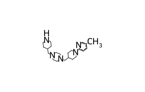 Cc1ccc(N2CCC(CN3CCN(CC4CCNCC4)CC3)CC2)nc1